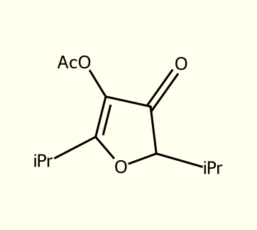 CC(=O)OC1=C(C(C)C)OC(C(C)C)C1=O